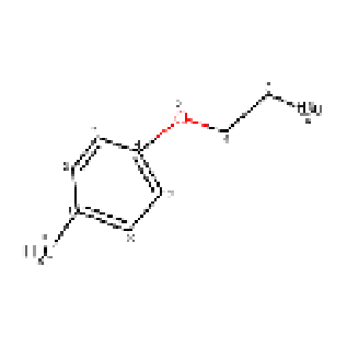 Cc1ccc(OCCC(C)(C)C)cc1